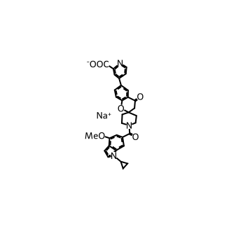 COc1cc(C(=O)N2CCC3(CC2)CC(=O)c2cc(-c4ccnc(C(=O)[O-])c4)ccc2O3)cc2c1ccn2C1CC1.[Na+]